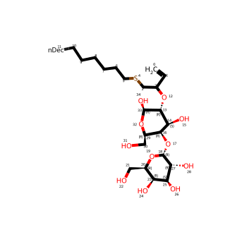 C=CC(CSCCCCCCCCCCCCCCCC)O[C@@H]1[C@@H](O)[C@@H](O[C@H]2O[C@H](CO)[C@H](O)[C@H](O)[C@H]2O)[C@@H](CO)O[C@H]1O